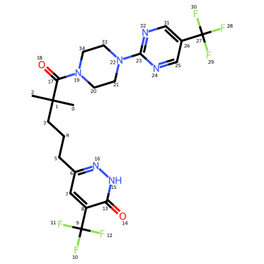 CC(C)(CCCc1cc(C(F)(F)F)c(=O)[nH]n1)C(=O)N1CCN(c2ncc(C(F)(F)F)cn2)CC1